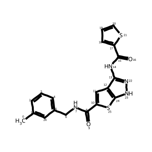 Cc1cccc(CNC(=O)c2cc3c(NC(=O)c4cccs4)n[nH]c3s2)c1